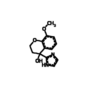 COc1cccc2c1OCCC2(O)c1ncc[nH]1